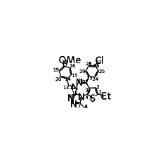 CCc1cc2c(s1)-n1c(C)nnc1N(Cc1ccc(OC)cc1)N=C2c1ccc(Cl)cc1